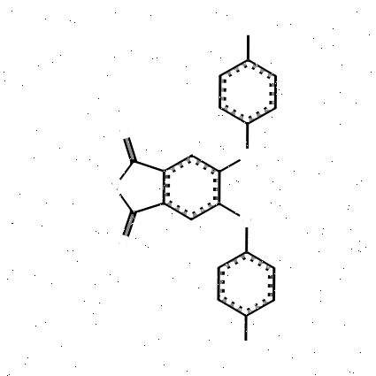 O=C1NC(=O)c2cc(Oc3ccc(F)cc3)c(Oc3ccc(F)cc3)cc21